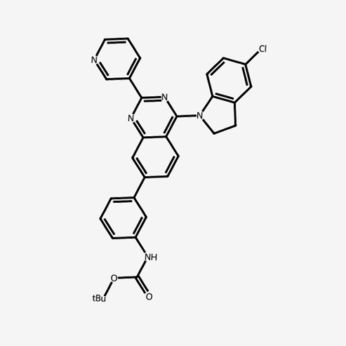 CC(C)(C)OC(=O)Nc1cccc(-c2ccc3c(N4CCc5cc(Cl)ccc54)nc(-c4cccnc4)nc3c2)c1